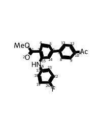 COC(=O)c1ccc(-c2ccc(C(C)=O)cc2)cc1Nc1ccc(F)cc1